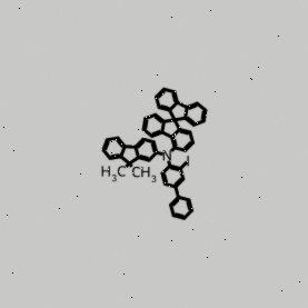 CC1(C)c2ccccc2-c2ccc(N(c3ccc(-c4ccccc4)cc3I)c3cccc4c3-c3ccccc3C43c4ccccc4-c4ccccc43)cc21